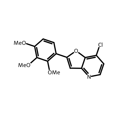 COc1ccc(-c2cc3nccc(Cl)c3o2)c(OC)c1OC